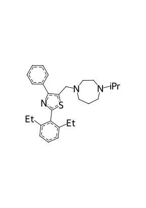 CCc1cccc(CC)c1-c1nc(-c2ccccc2)c(CN2CCCN(C(C)C)CC2)s1